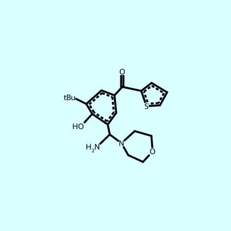 CC(C)(C)c1cc(C(=O)c2cccs2)cc(C(N)N2CCOCC2)c1O